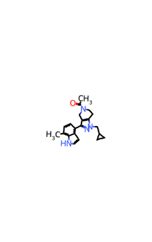 CC(=O)N1CCc2c(c(-c3ccc(C)c4[nH]ccc34)nn2CC2CC2)C1